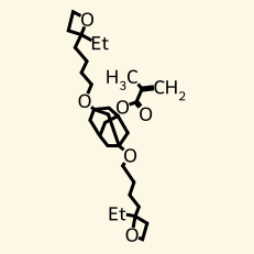 C=C(C)C(=O)OC12CC3CC(OCCCCC4(CC)CCO4)(CC(OCCCCC4(CC)CCO4)(C3)C1)C2